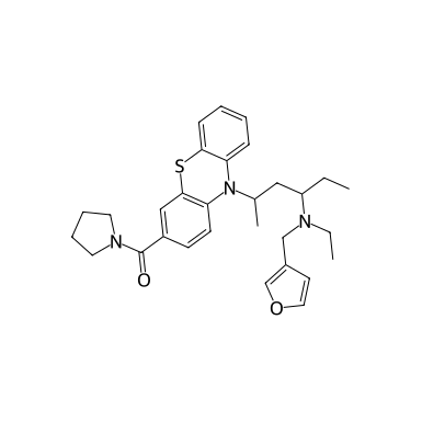 CCC(CC(C)N1c2ccccc2Sc2cc(C(=O)N3CCCC3)ccc21)N(CC)Cc1ccoc1